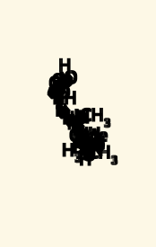 COc1cc(N2CCN(C3CCN(CCCNc4cccc5c4C(=O)N(C4CCC(=O)NC4=O)C5=O)CC3)CC2)c(-c2cnn(C)c2)cc1Nc1ncc(Br)c(Nc2ccc3nccnc3c2P(C)(C)=O)n1